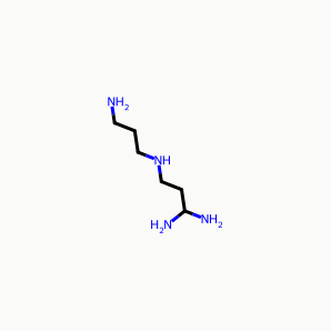 NCCCNCCC(N)N